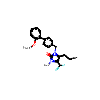 CCCCn1c(C(F)F)c(CCC(C)C)n(Cc2ccc(-c3ccccc3OC(=O)O)cc2)c1=O